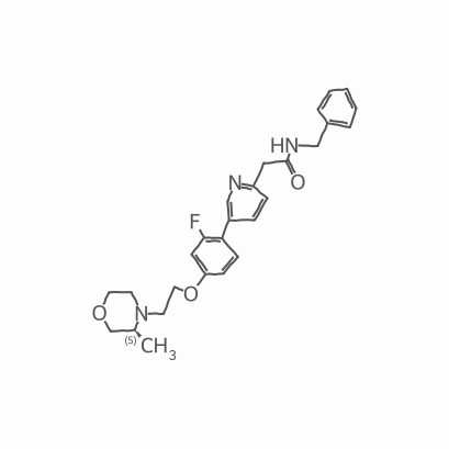 C[C@H]1COCCN1CCOc1ccc(-c2ccc(CC(=O)NCc3ccccc3)nc2)c(F)c1